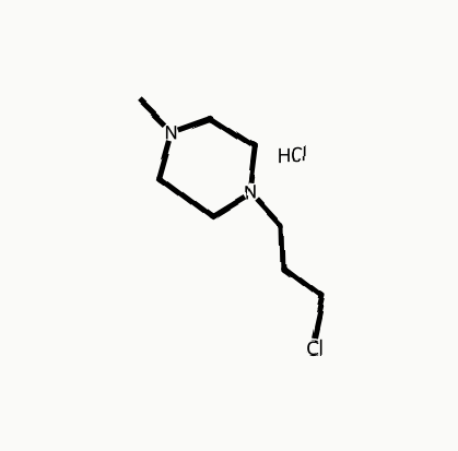 CN1CCN(CCCCl)CC1.Cl